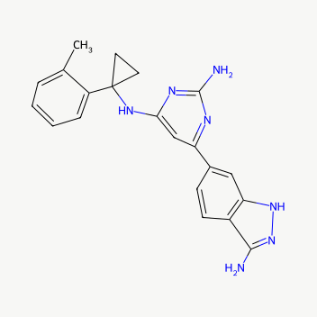 Cc1ccccc1C1(Nc2cc(-c3ccc4c(N)n[nH]c4c3)nc(N)n2)CC1